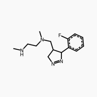 CNCCN(C)CC1CN=NC1c1ccccc1F